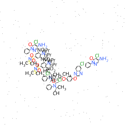 C#CC(C)N(C(=O)CCl)c1ccccc1.C#CC(C)N(C(C)=O)c1ccccc1Cl.CC(Oc1ccc(Oc2cnc3cc(Cl)ccc3n2)cc1)C(=O)O.CCCN(CCC)c1c([N+](=O)[O-])cc(S(=O)(=O)N=S(C)C)cc1[N+](=O)[O-].CCCN(CCC)c1c([N+](=O)[O-])cc(S(=O)(=O)N=S(C)C)cc1[N+](=O)[O-].Nc1cnn(-c2ccccc2)c(=O)c1Cl.Nc1cnn(-c2ccccc2)c(=O)c1Cl